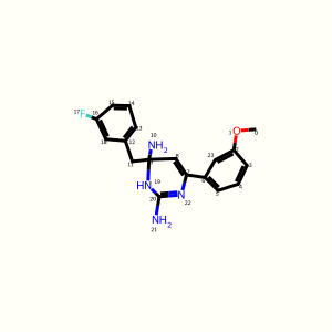 COc1cccc(C2=CC(N)(Cc3cccc(F)c3)NC(N)=N2)c1